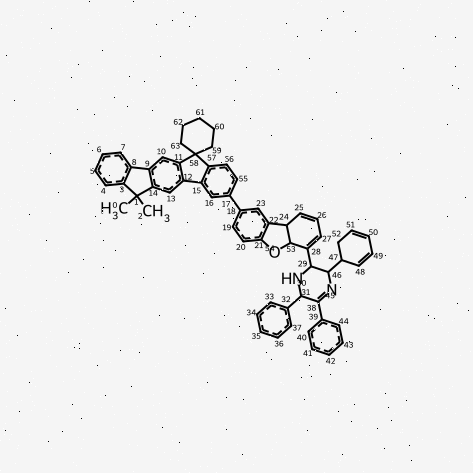 CC1(C)c2ccccc2-c2cc3c(cc21)-c1cc(-c2ccc4c(c2)C2C=CC=C(C5NC(c6ccccc6)C(c6ccccc6)=NC5C5C=CC=CC5)C2O4)ccc1C31CCCCC1